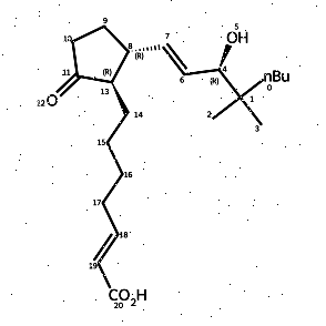 CCCCC(C)(C)[C@H](O)C=C[C@H]1CCC(=O)[C@@H]1CCCCC=CC(=O)O